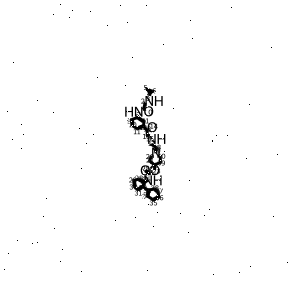 O=C(CNC1CC1)Nc1cccc(C(=O)CNCCN2CCC(OC(=O)Nc3ccccc3-c3ccccc3)CC2)c1